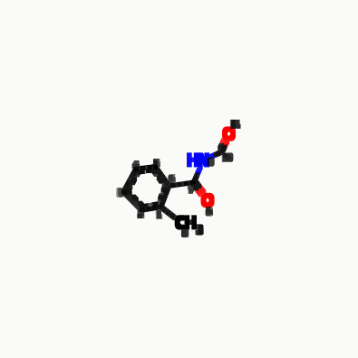 Cc1ccccc1C(=O)NC=O